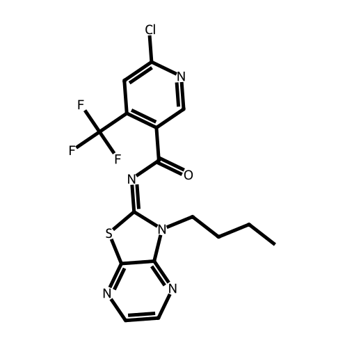 CCCCn1c(=NC(=O)c2cnc(Cl)cc2C(F)(F)F)sc2nccnc21